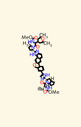 CC[C@H](C)[C@H](NC(=O)OC)C(=O)N1[C@H](c2ncc(-c3ccc4c(c3)COc3cc5c(ccc6nc([C@@H]7CC[C@H](C)N7C(=O)[C@@H](NC(=O)OC)C7C[C@@H](C)O[C@H](C)C7)[nH]c65)cc3-4)[nH]2)C[C@@H]2CCC[C@@H]21